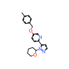 Cc1ccc(COc2ccc(-c3ccnn3C3CCCCO3)nc2)cc1